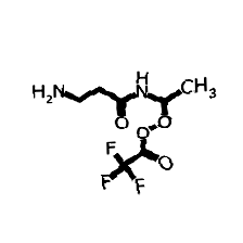 CC(NC(=O)CCN)OOC(=O)C(F)(F)F